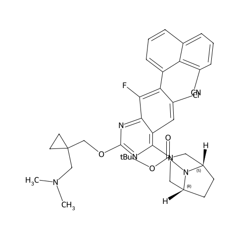 CN(C)CC1(COc2nc(N3C[C@H]4CC[C@@H](C3)N4C(=O)OC(C)(C)C)c3cc(Cl)c(-c4cccc5cccc(C#N)c45)c(F)c3n2)CC1